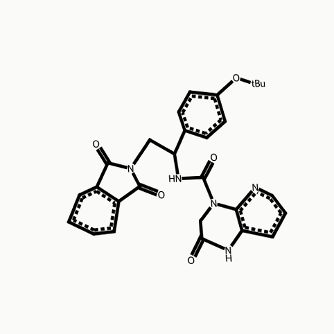 CC(C)(C)Oc1ccc(C(CN2C(=O)c3ccccc3C2=O)NC(=O)N2CC(=O)Nc3cccnc32)cc1